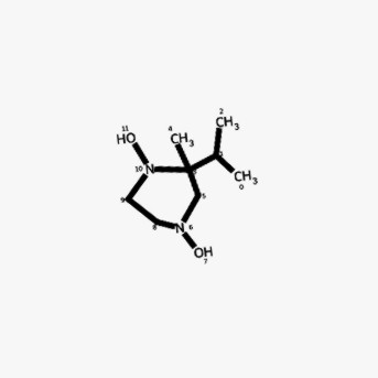 CC(C)C1(C)CN(O)CCN1O